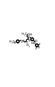 COc1ccc(CO/N=C/C(C)CC(CCC(C)O)Sc2cc(C(=O)Nc3cc(F)c(F)c(F)c3)ccc2Cl)cc1